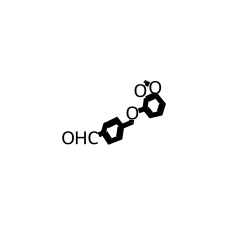 O=Cc1ccc(COc2cccc3c2OCO3)cc1